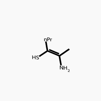 CCC/C(S)=C(\C)N